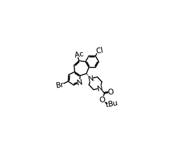 CC(=O)C1=Cc2cc(Br)cnc2[C@@H](N2CCN(C(=O)OC(C)(C)C)CC2)c2ccc(Cl)cc21